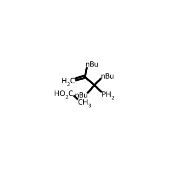 C=C(CCCC)C(P)(CCCC)CCCC.CC(=O)O